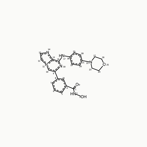 O=C(NO)c1cccc(-c2cn3ccnc3c(Nc3ccc(N4CCOCC4)cc3)n2)c1